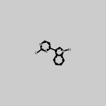 CCn1cc(-c2ccnc(Cl)n2)c2ccccc21